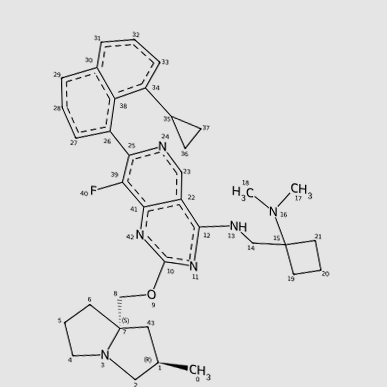 C[C@H]1CN2CCC[C@@]2(COc2nc(NCC3(N(C)C)CCC3)c3cnc(-c4cccc5cccc(C6CC6)c45)c(F)c3n2)C1